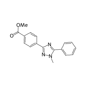 COC(=O)c1ccc(-c2nc(-c3ccccc3)n(C)n2)cc1